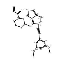 C=CC(=O)N1CCCC(NC2=C3C=NC=C3NCN2C#Cc2cc(OC)cc(OC)c2)C1